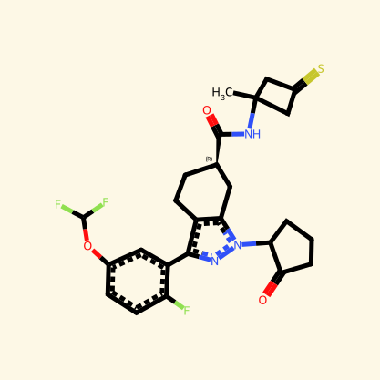 CC1(NC(=O)[C@@H]2CCc3c(-c4cc(OC(F)F)ccc4F)nn(C4CCCC4=O)c3C2)CC(=S)C1